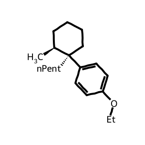 CCCCC[C@@]1(c2ccc(OCC)cc2)CCCC[C@@H]1C